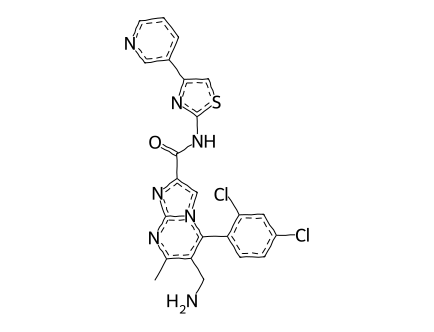 Cc1nc2nc(C(=O)Nc3nc(-c4cccnc4)cs3)cn2c(-c2ccc(Cl)cc2Cl)c1CN